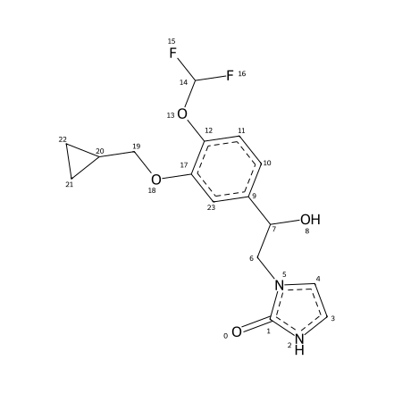 O=c1[nH]ccn1CC(O)c1ccc(OC(F)F)c(OCC2CC2)c1